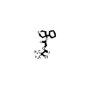 CCC(C)(C)C(=O)OCC(=O)OC1(C2CCCCC2)CCOCC1